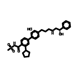 CS(=O)(=O)NC(=O)c1ccc(-c2ccc(CCCNC[C@@H](O)c3ccccc3)cc2)cc1C1CCCC1.Cl